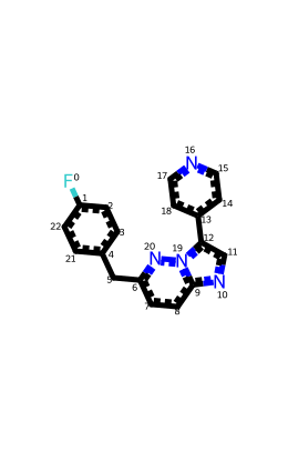 Fc1ccc(Cc2ccc3ncc(-c4ccncc4)n3n2)cc1